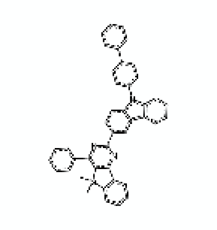 C[Si]1(C)c2ccccc2-c2nc(-c3ccc4c(c3)c3ccccc3n4-c3ccc(-c4ccccc4)cc3)nc(-c3ccccc3)c21